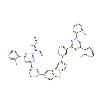 C=C/C(C)=C(\C=C)c1nc(-c2cccc(-c3ccc4sc5ccc(-c6cccc(-c7nc(-c8ccccc8C)nc(-c8ccccc8C)n7)c6)cc5c4c3)c2)nc(-c2ccccc2C)n1